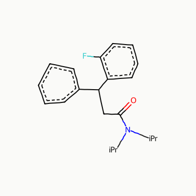 CC(C)N(C(=O)CC(c1ccccc1)c1ccccc1F)C(C)C